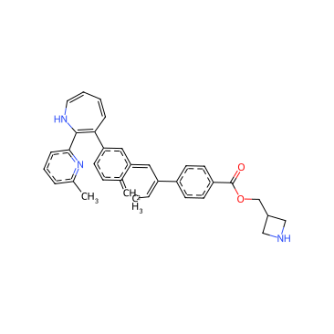 C=c1ccc(C2=C(c3cccc(C)n3)NC=CC=C2)c/c1=C/C(=C\C)c1ccc(C(=O)OCC2CNC2)cc1